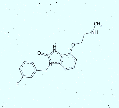 CNCCOc1cccc2c1[nH]c(=O)n2Cc1cccc(F)c1